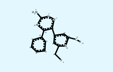 Nc1nnc(-c2cc(CF)nc(CF)c2)c(-c2ccccc2)n1